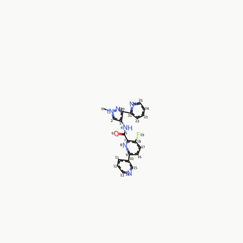 Cn1cc(NC(=O)c2nc(-c3cccnc3)ccc2F)c(-c2ccccn2)n1